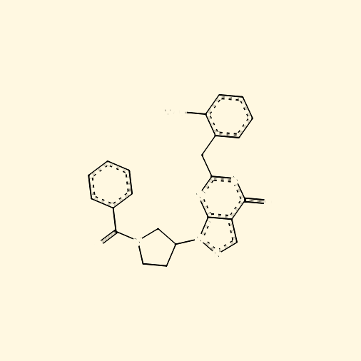 COc1ccccc1Cc1nc2c(cnn2C2CCN(C(=O)c3ccccc3)C2)c(=O)[nH]1